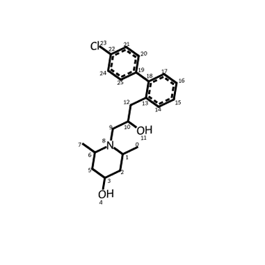 CC1CC(O)CC(C)N1CC(O)Cc1ccccc1-c1ccc(Cl)cc1